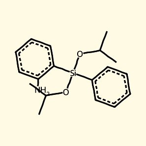 CC(C)O[Si](OC(C)C)(c1ccccc1)c1ccccc1N